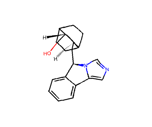 O[C@@H]1C2CCC(CC2)[C@H]1[C@@H]1c2ccccc2-c2cncn21